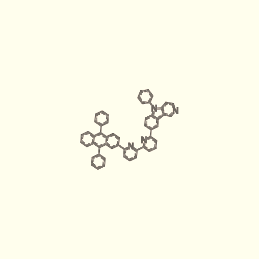 c1ccc(-c2c3ccccc3c(-c3ccccc3)c3cc(-c4cccc(-c5cccc(-c6ccc7c(c6)c6cnccc6n7-c6ccccc6)n5)n4)ccc23)cc1